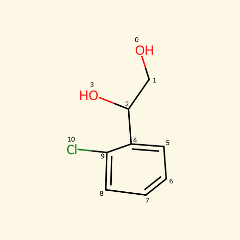 OCC(O)c1ccccc1Cl